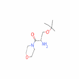 CC(C)(C)OCC(N)C(=O)N1CCOCC1